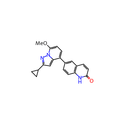 COc1ccc(-c2ccc3[nH]c(=O)ccc3c2)c2cc(C3CC3)nn12